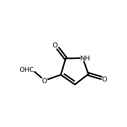 O=COC1=CC(=O)NC1=O